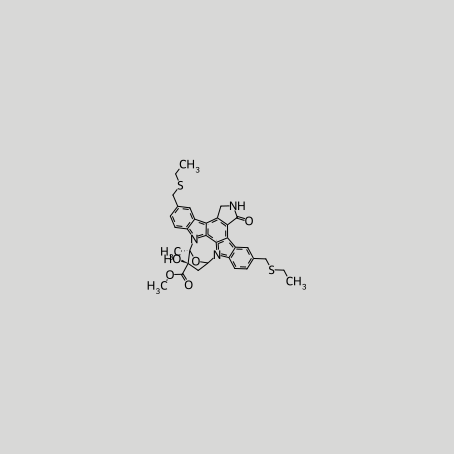 CCSCc1ccc2c(c1)c1c3c(c4c5cc(CSCC)ccc5n5c4c1n2C1C[C@](O)(C(=O)OC)[C@]5(C)O1)CNC3=O